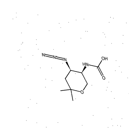 CC1(C)C[C@@H](N=[N+]=[N-])[C@@H](NC(=O)O)CO1